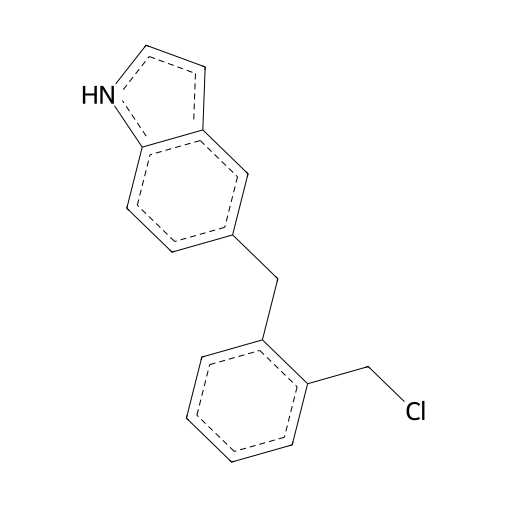 ClCc1ccccc1Cc1ccc2[nH]ccc2c1